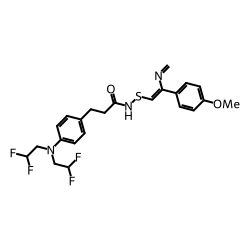 C=N/C(=C\SNC(=O)CCc1ccc(N(CC(F)F)CC(F)F)cc1)c1ccc(OC)cc1